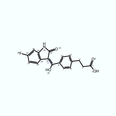 O=C(O)CCc1ccc(/C(O)=C2\C(=O)Nc3cc(F)ccc32)cc1